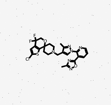 Cc1noc(-c2cccnc2-n2cc(CN3CCC4(CC3)OCC(F)(F)c3cc(Cl)sc34)c(C)n2)n1